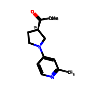 COC(=O)[C@@H]1CCN(c2ccnc(C(F)(F)F)c2)C1